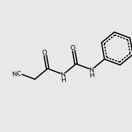 N#CCC(=O)NC(=O)Nc1ccccc1